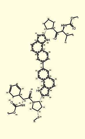 COC(=O)N[C@H](C(=O)N1CCC[C@H]1c1nc2ccc3cc(-c4ccc5c(ccc6nc([C@@H]7C[C@H](SC)CN7C(=O)[C@H](NC(=O)OC)C7C=CC=CC7)[nH]c65)c4)ccc3c2[nH]1)C(C)C